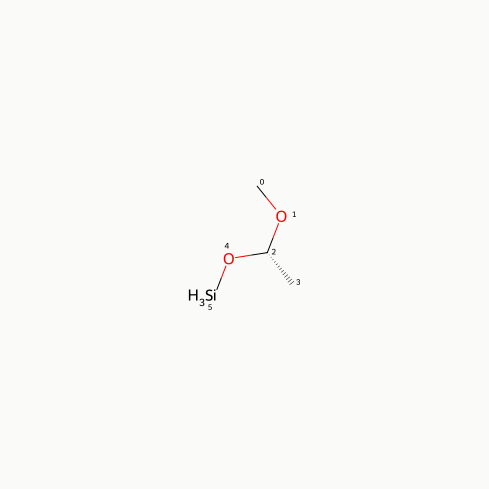 CO[C@H](C)O[SiH3]